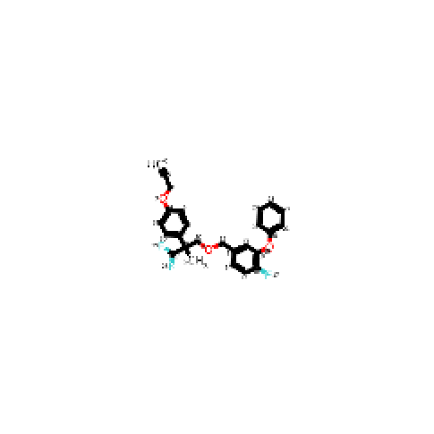 C#CCOc1ccc(C(C)(COCc2ccc(F)c(Oc3ccccc3)c2)C(F)F)cc1